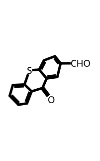 O=Cc1ccc2sc3ccccc3c(=O)c2c1